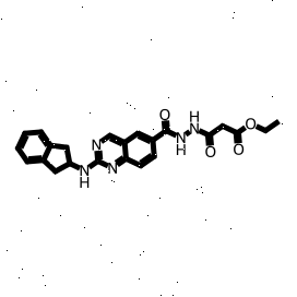 CCOC(=O)CC(=O)NNC(=O)c1ccc2nc(NC3Cc4ccccc4C3)ncc2c1